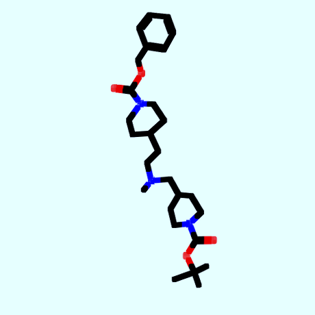 CN(CCC1CCN(C(=O)OCc2ccccc2)CC1)CC1CCN(C(=O)OC(C)(C)C)CC1